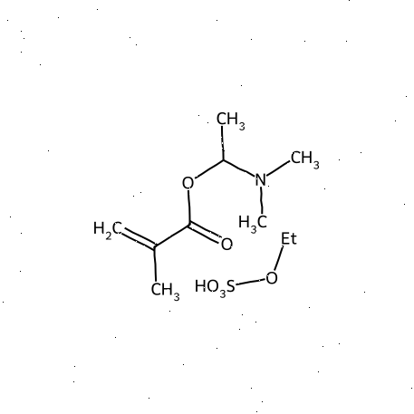 C=C(C)C(=O)OC(C)N(C)C.CCOS(=O)(=O)O